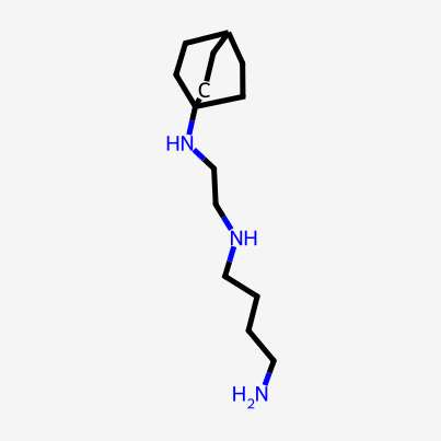 NCCCCNCCNC12CCC(CC1)CC2